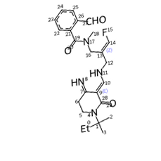 CCC(C)(C)N1CCC(=N)/C(=C\NC/C(=C/F)CN(C)C(=O)c2ccccc2C=O)C1=O